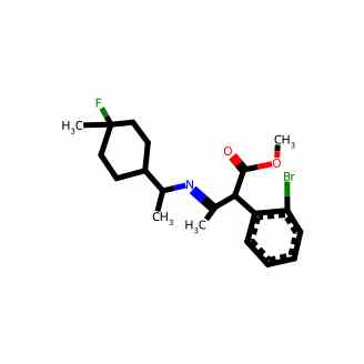 COC(=O)C(/C(C)=N/C(C)C1CCC(C)(F)CC1)c1ccccc1Br